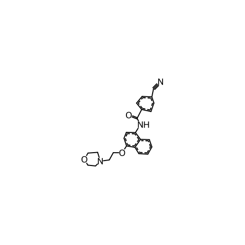 N#Cc1ccc(C(=O)Nc2ccc(OCCN3CCOCC3)c3ccccc23)cc1